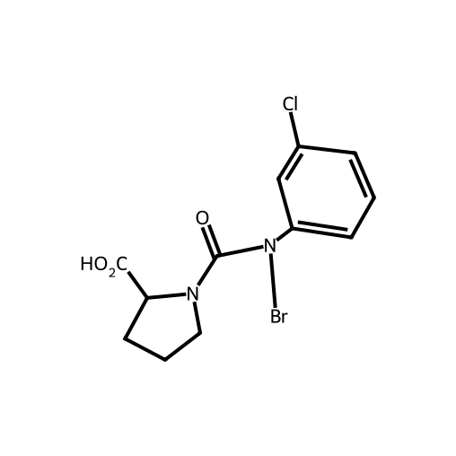 O=C(O)C1CCCN1C(=O)N(Br)c1cccc(Cl)c1